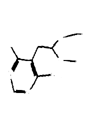 CCOC(Cc1c(N)ncnc1Cl)OCC